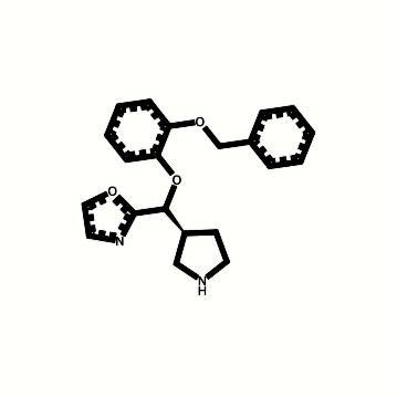 c1ccc(COc2ccccc2OC(c2ncco2)[C@H]2CCNC2)cc1